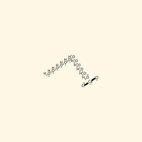 O.O.O.O.O.O.O.O.O.O.O.O.[Cl][Ca][Cl]